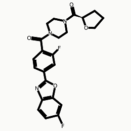 O=C(c1ccc(-c2nc3ccc(F)cc3o2)cc1F)N1CCN(C(=O)[C@H]2CCCO2)CC1